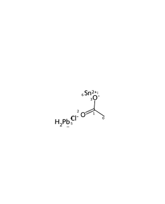 CC(=O)[O-].[Cl-].[PbH2].[Sn+2]